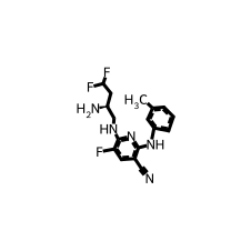 Cc1cccc(Nc2nc(NC[C@@H](N)CC(F)F)c(F)cc2C#N)c1